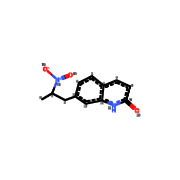 CC(Cc1ccc2ccc(=O)[nH]c2c1)[N+](=O)[O-]